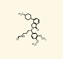 COc1ccc([C@@H](CCCNC=O)N2Cc3c(cccc3N3CCN(C)CC3)C2=O)cc1OC